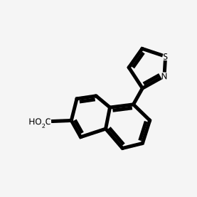 O=C(O)c1ccc2c(-c3ccsn3)cccc2c1